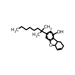 CCCCCCC(C)(C)c1cc(O)c2c(c1)OC1C=CCCC21